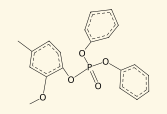 COc1cc(C)ccc1OP(=O)(Oc1ccccc1)Oc1ccccc1